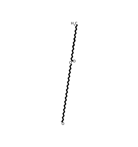 CCCCCCCCC=CCC=CCCCCCCC(=O)OCCCCCCCCCCCCCCCCCCCCCCCCCCCCC[C]=O